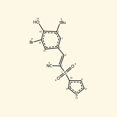 CC(C)(C)c1cc(/C=C(\C#N)S(=O)(=O)c2ccsc2)cc(Br)c1O